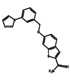 N=C(N)c1cc2ccc(OCc3cccc(-n4cccc4)c3)cc2s1